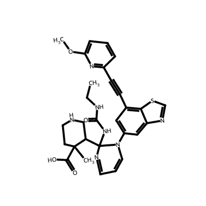 CCNC(=O)NC1(C2CNCCC2(C)C(=O)O)N=CC=CN1c1cc(C#Cc2cccc(OC)n2)c2scnc2c1